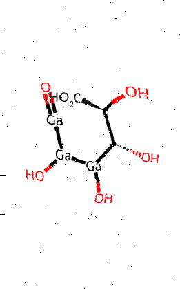 [O]=[Ga][Ga]([OH])[Ga]([OH])[C@@H](O)[C@H](O)C(=O)O